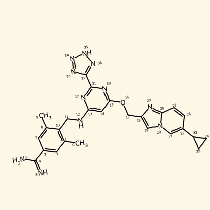 Cc1cc(C(=N)N)cc(C)c1CNc1cc(OCc2cn3cc(C4CC4)ccc3n2)nc(-c2nn[nH]n2)n1